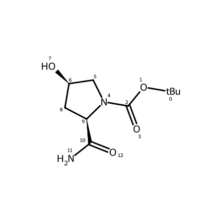 CC(C)(C)OC(=O)N1C[C@H](O)C[C@@H]1C(N)=O